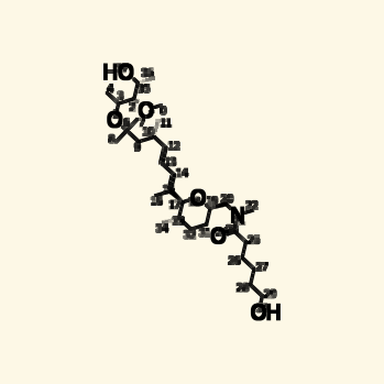 CO[C@H](C(C)OC(C)(C)C[C@H](C)/C=C/C=C(\C)[C@H]1O[C@@H](CN(C)C(=O)CCCCCO)CC[C@@H]1C)[C@@H](C)O